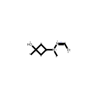 CC/C=N\N(C)C1CC(C)(O)C1